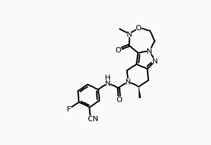 C[C@@H]1Cc2nn3c(c2CN1C(=O)Nc1ccc(F)c(C#N)c1)C(=O)N(C)OCC3